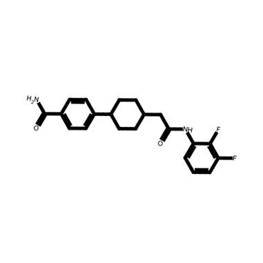 NC(=O)c1ccc(C2CCC(CC(=O)Nc3cccc(F)c3F)CC2)cc1